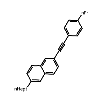 CCCCCCCc1ccc2cc(C#Cc3ccc(CCC)cc3)ccc2c1